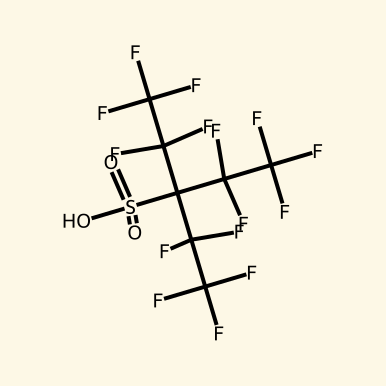 O=S(=O)(O)C(C(F)(F)C(F)(F)F)(C(F)(F)C(F)(F)F)C(F)(F)C(F)(F)F